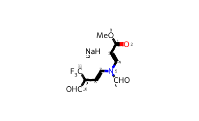 COC(=O)C=CN(C=O)C=CC(C=O)C(F)(F)F.[NaH]